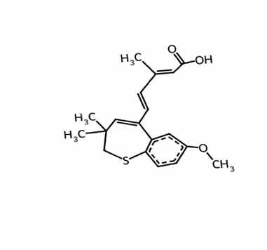 COc1ccc2c(c1)C(C=CC(C)=CC(=O)O)=CC(C)(C)CS2